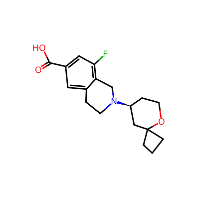 O=C(O)c1cc(F)c2c(c1)CCN([C@H]1CCOC3(CCC3)C1)C2